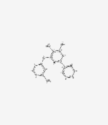 Cc1cccc(Oc2nc(-c3ccccn3)nc(O)c2O)c1